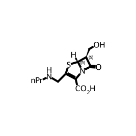 CCCNCC1=C(C(=O)O)N2C(=O)[C@H](CO)[C@H]2S1